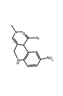 CC(=O)C(=O)C1/C(=C\N(C)C)CNc2ccc([N+](=O)[O-])cc21